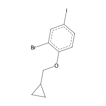 Brc1cc(I)ccc1OCC1CC1